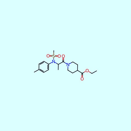 CCOC(=O)C1CCN(C(=O)C(C)N(c2ccc(C)cc2)S(C)(=O)=O)CC1